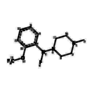 CN1CCN(N(F)c2ccccc2OC(F)(F)F)CC1